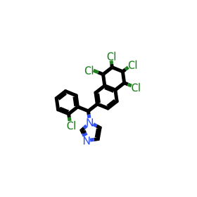 Clc1ccccc1C(c1ccc2c(c1)C(Cl)C(Cl)C(Cl)C2Cl)n1ccnc1